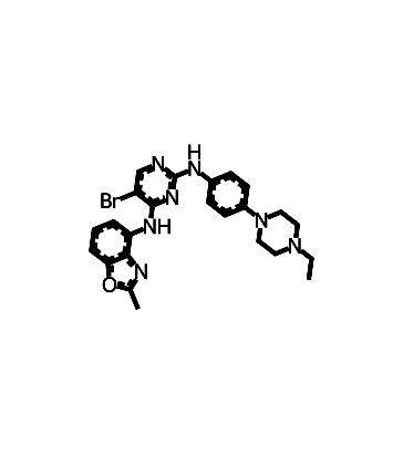 CCN1CCN(c2ccc(Nc3ncc(Br)c(Nc4cccc5oc(C)nc45)n3)cc2)CC1